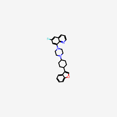 Fc1cc(N2CCN(C3CCC(c4coc5ccccc45)CC3)CC2)c2ncccc2c1